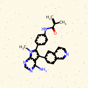 C=C(C)C(=O)Nc1ccc(-c2c(-c3ccc4cnccc4c3)c3c(N)ncnc3n2C)cc1